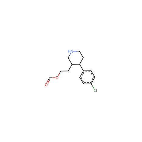 O=COCCC1CNCCC1c1ccc(Cl)cc1